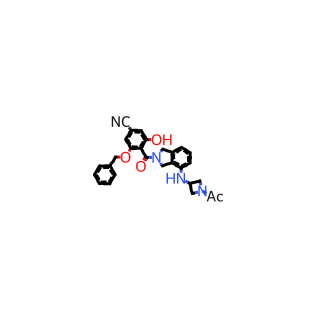 CC(=O)N1CC(Nc2cccc3c2CN(C(=O)c2c(O)cc(C#N)cc2OCc2ccccc2)C3)C1